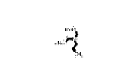 C=CCN(CCCCCCCCCC)CCCCCCCCCC